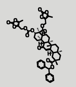 Cc1oc(=O)oc1COC(=O)O[C@H]1CC[C@@]2(C)[C@@H](CC[C@]3(C)[C@@H]2C(=O)C=C2[C@@H]4C[C@@](C)(C(=O)OC(c5ccccc5)c5ccccc5)CC[C@]4(C)CC[C@]23C)[C@]1(C)C(=O)OCc1oc(=O)oc1C